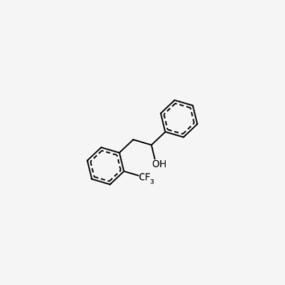 OC(Cc1ccccc1C(F)(F)F)c1ccccc1